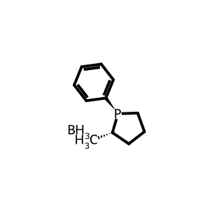 B.C[C@H]1CCC[P@]1c1ccccc1